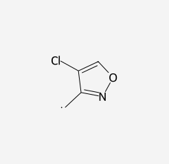 [CH2]c1nocc1Cl